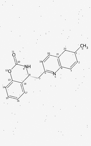 CC1C=Cc2nc(C[C@H]3NC(=O)Oc4ccccc43)ccc2C1